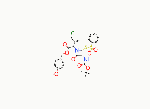 C=C(CCl)C(C(=O)OCc1ccc(OC)cc1)N1C(=O)C(NC(=O)OC(C)(C)C)C1SS(=O)(=O)c1ccccc1